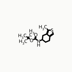 Cc1scc2c1CC(NC(=O)OC(C)(C)C)CC2